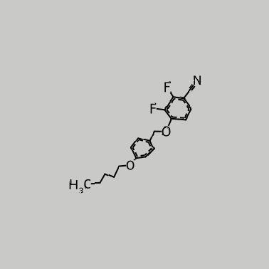 CCCCCOc1ccc(COc2ccc(C#N)c(F)c2F)cc1